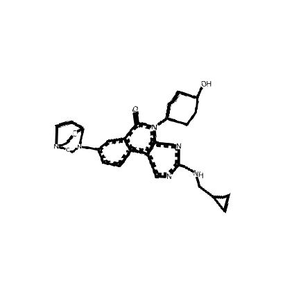 O=c1c2cc(N3CCN4CCC3CC4)ccc2c2cnc(NCC3CC3)nc2n1C1CCC(O)CC1